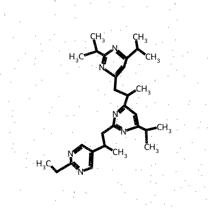 CCc1ncc(C(C)Cc2nc(C(C)C)cc(C(C)Cc3cc(C(C)C)nc(C(C)C)n3)n2)cn1